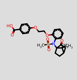 CC1(C)C2CCC1(N(c1ccccc1OCCOc1ccc(C(=O)O)cc1)S(C)(=O)=O)C(=O)C2